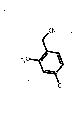 N#CCc1ccc(Cl)cc1C(F)(F)F